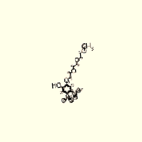 COCCOCCOCCOc1cc([N+](=O)[O-])c([N+](=O)[O-])cc1O